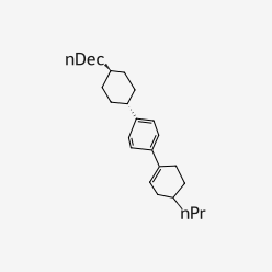 CCCCCCCCCC[C@H]1CC[C@H](c2ccc(C3=CCC(CCC)CC3)cc2)CC1